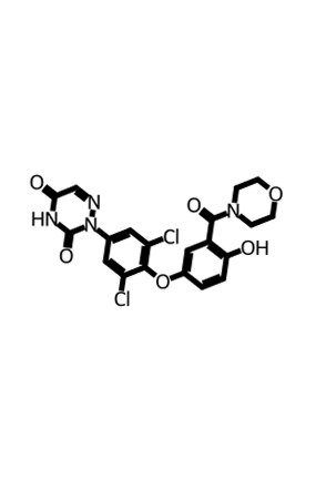 O=C(c1cc(Oc2c(Cl)cc(-n3ncc(=O)[nH]c3=O)cc2Cl)ccc1O)N1CCOCC1